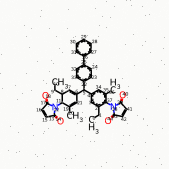 CCc1cc(C(C2=CC(CC)C(N3C(=O)C=CC3=O)C(C)=C2)c2ccc(-c3ccccc3)cc2)cc(C)c1N1C(=O)C=CC1=O